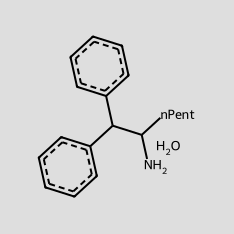 CCCCCC(N)C(c1ccccc1)c1ccccc1.O